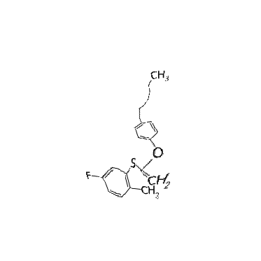 C=C(Oc1ccc(CCCC)cc1)Sc1cc(F)ccc1C